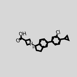 O=C(O)C1CN([C@@H]2CCc3cc(-c4ccc(C5CC5)c(Cl)c4)ccc32)C1